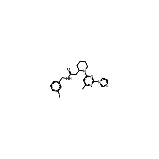 Cc1cc(N2CCCCC2CC(=O)NCc2cccc(F)c2)nc(-n2ccnc2)n1